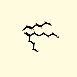 C=C(CCCC)CCCCCC.CC=CC=CCC